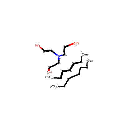 CCCCCCCCCCCCCCCC(=O)O.CCCCCCCCCCCCCCCC(=O)O.OCCN(CCO)CCO